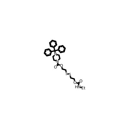 CCNC(=O)OCCSSCCOC(=O)N1CCN(C(c2ccccc2)(c2ccccc2)c2ccccc2)CC1